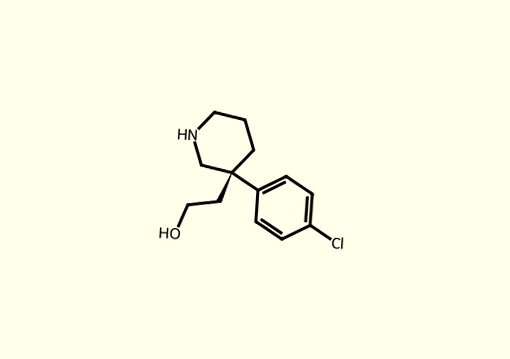 OCC[C@]1(c2ccc(Cl)cc2)CCCNC1